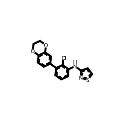 Clc1c(Nc2ccsn2)cccc1-c1ccc2c(c1)OCCO2